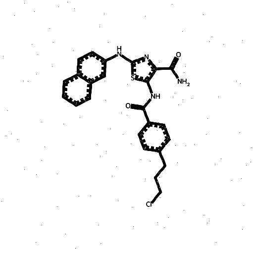 NC(=O)c1nc(Nc2ccc3ccccc3c2)sc1NC(=O)c1ccc(CCCCl)cc1